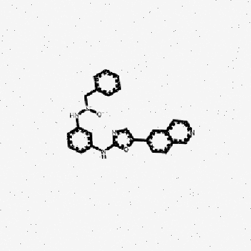 [O-][S+](Cc1ccccc1)Nc1cccc(Nc2ncc(-c3ccc4cnccc4c3)o2)c1